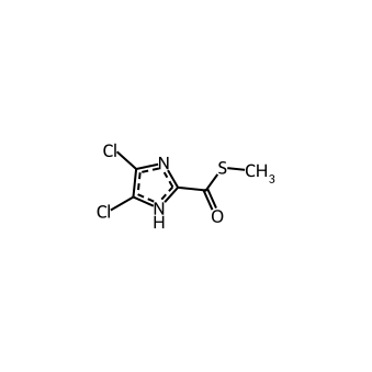 CSC(=O)c1nc(Cl)c(Cl)[nH]1